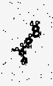 CCOc1cn(-c2ccoc2)nc1C(=O)Nc1ccc(Oc2ccnc3cc(OC)c(OC)cc23)cn1